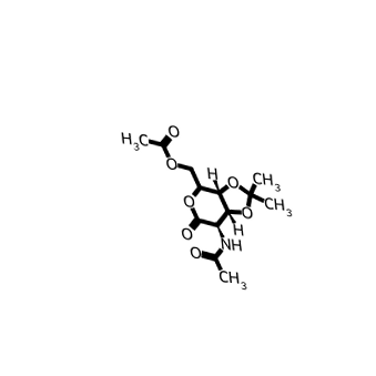 CC(=O)N[C@H]1C(=O)OC(COC(C)=O)[C@@H]2OC(C)(C)O[C@H]12